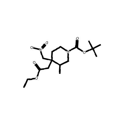 CCOC(=O)CC1(C[N+](=O)[O-])CCN(C(=O)OC(C)(C)C)CC1C